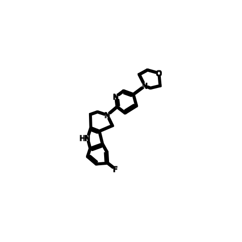 Fc1ccc2[nH]c3c(c2c1)CN(c1ccc(N2CCOCC2)cn1)CC3